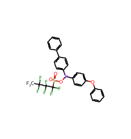 O=S(=O)(O[I+](c1ccc(Oc2ccccc2)cc1)c1ccc(-c2ccccc2)cc1)C(F)(F)C(F)(F)C(F)(F)C(F)(F)F